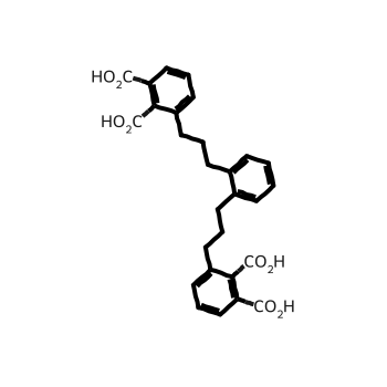 O=C(O)c1cccc(CCCc2ccccc2CCCc2cccc(C(=O)O)c2C(=O)O)c1C(=O)O